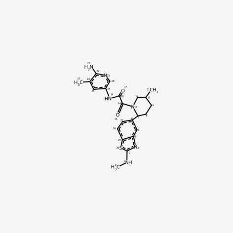 CNc1nc2cc(C3CCC(C)CN3C(=O)C(=O)Nc3cnc(N)c(C)c3)ccc2s1